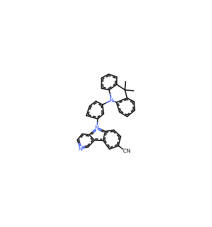 CC1(C)c2ccccc2N(c2cccc(-n3c4ccncc4c4cc(C#N)ccc43)c2)c2ccccc21